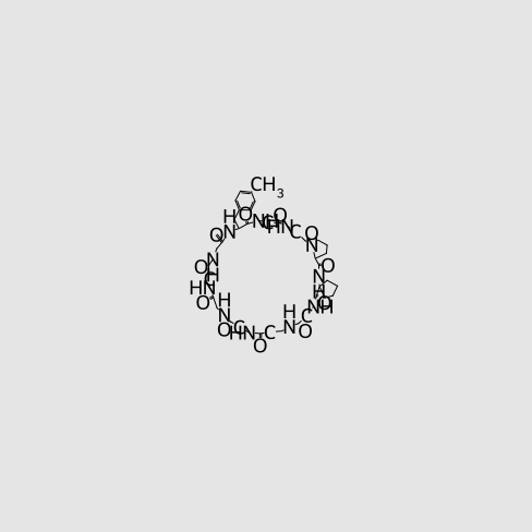 Cc1ccc(CC2NC(=O)CNC(=O)CNC(=O)CNC(=O)CNC(=O)CCNC(=O)CNC(=O)C3(CCCC3)NC(=O)C3CCCN3C(=O)CNC(=O)CNC2=O)cc1